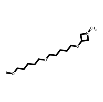 CN1CC(OCCCCCOCCCCCOI)C1